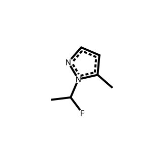 Cc1ccnn1C(C)F